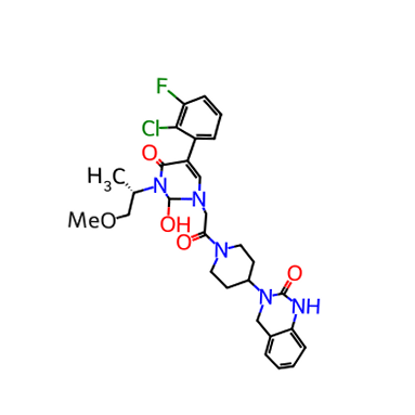 COC[C@H](C)N1C(=O)C(c2cccc(F)c2Cl)=CN(CC(=O)N2CCC(N3Cc4ccccc4NC3=O)CC2)C1O